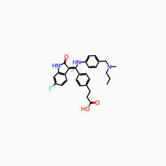 CCCN(C)Cc1ccc(N/C(=C2\C(=O)Nc3cc(F)ccc32)c2ccc(CCC(=O)O)cc2)cc1